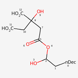 CCCCCCCCCCCC(O)OC(=O)CC(O)(CC(=O)O)C(=O)O